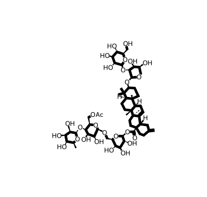 C=C1CC[C@]2(C(=O)O[C@@H]3O[C@H](CO[C@@H]4O[C@H](COC(C)=O)[C@@H](O[C@@H]5O[C@@H](C)[C@H](O)[C@@H](O)[C@H]5O)[C@H](O)[C@H]4O)[C@@H](O)[C@H](O)[C@H]3O)CC[C@]3(C)C(=CC[C@@H]4[C@@]5(C)CC[C@H](O[C@@H]6OC[C@H](O)[C@H](O)[C@H]6O[C@@H]6O[C@H](CO)[C@@H](O)[C@H](O)[C@H]6O)C(C)(C)[C@@H]5CC[C@]43C)[C@@H]2C1